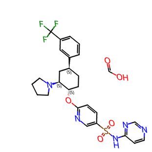 O=CO.O=S(=O)(Nc1ccncn1)c1ccc(O[C@H]2CC[C@H](c3cccc(C(F)(F)F)c3)C[C@@H]2N2CCCC2)nc1